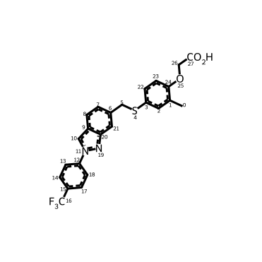 Cc1cc(SCc2ccc3cn(-c4ccc(C(F)(F)F)cc4)nc3c2)ccc1OCC(=O)O